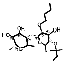 CCCCO[C@H]1[C@@H](O)[C@H](OC(C)(C)CC)C(C)O[C@@H]1C[C@@H]1C(C)O[C@H](C)[C@@H](O)[C@H]1O